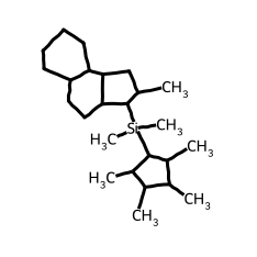 CC1CC2C3CCCCC3CCC2C1[Si](C)(C)C1C(C)C(C)C(C)C1C